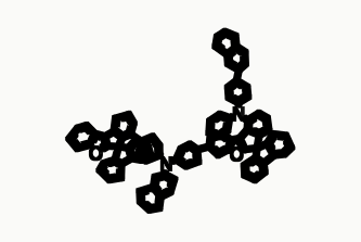 c1ccc(N(c2ccc(-c3ccc4ccccc4c3)cc2)c2cccc3c2-c2c(oc4cc(-c5ccc(N(c6ccc(-c7cccc8c7C7(c9ccccc9-c9ccccc97)c7oc9ccccc9c7-8)cc6)c6ccc7ccccc7c6)cc5)ccc24)C32c3ccccc3-c3ccccc32)cc1